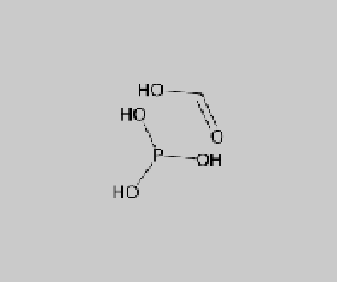 O=CO.OP(O)O